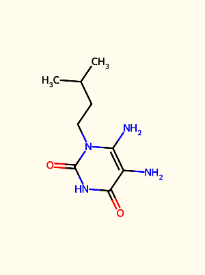 CC(C)CCn1c(N)c(N)c(=O)[nH]c1=O